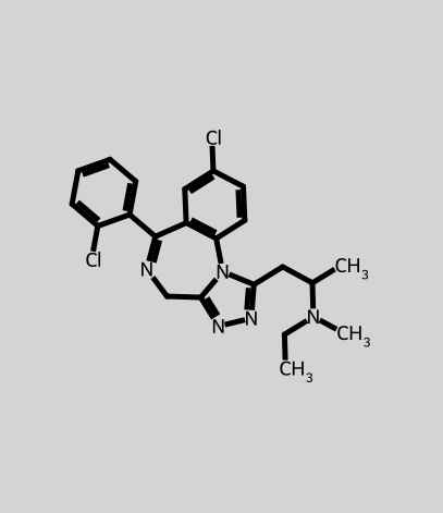 CCN(C)C(C)Cc1nnc2n1-c1ccc(Cl)cc1C(c1ccccc1Cl)=NC2